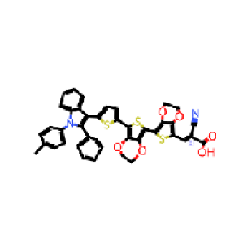 Cc1ccc(-n2c(-c3ccccc3)c(-c3ccc(-c4sc(-c5sc(/C=C(\C#N)C(=O)O)c6c5OCCO6)c5c4OCCO5)s3)c3ccccc32)cc1